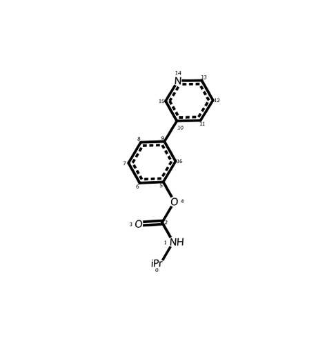 CC(C)NC(=O)Oc1cccc(-c2cccnc2)c1